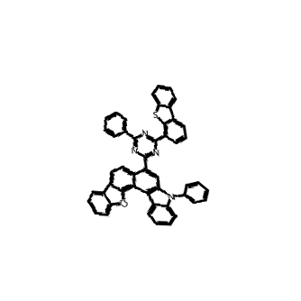 c1ccc(-c2nc(-c3cc4c(c5ccccc5n4-c4ccccc4)c4c3ccc3c5ccccc5oc34)nc(-c3cccc4c3sc3ccccc34)n2)cc1